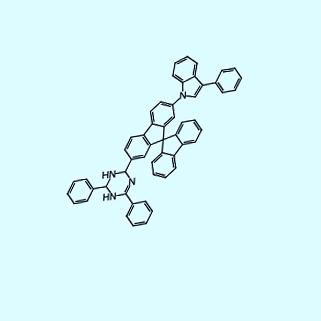 c1ccc(C2=NC(c3ccc4c(c3)C3(c5ccccc5-c5ccccc53)c3cc(-n5cc(-c6ccccc6)c6ccccc65)ccc3-4)NC(c3ccccc3)N2)cc1